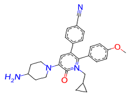 COc1ccc(-c2c(-c3ccc(C#N)cc3)cc(N3CCC(N)CC3)c(=O)n2CC2CC2)cc1